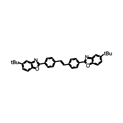 CC(C)(C)c1ccc2oc(-c3ccc(C=Cc4ccc(-c5nc6cc(C(C)(C)C)ccc6o5)cc4)cc3)nc2c1